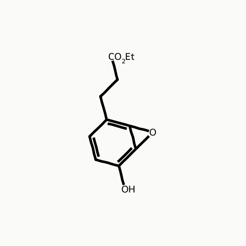 CCOC(=O)CCc1ccc(O)c2c1O2